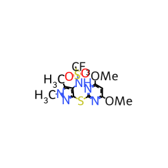 COc1cc(OC)nc(Sc2nn(C)c(C)c2NS(=O)(=O)C(F)(F)F)n1